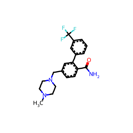 CN1CCN(Cc2ccc(C(N)=O)c(-c3cccc(C(F)(F)F)c3)c2)CC1